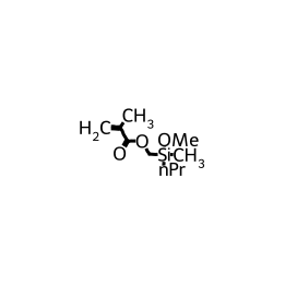 C=C(C)C(=O)OC[Si](C)(CCC)OC